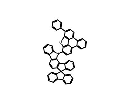 c1ccc(-c2ccc3c4ccccc4c4ccc(-n5c6ccccc6c6ccc7c(c65)-c5ccccc5C75c6ccccc6-c6ccccc65)c5oc2c3c54)cc1